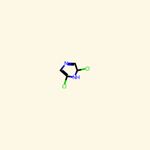 ClC1=CN=CC(Cl)N1